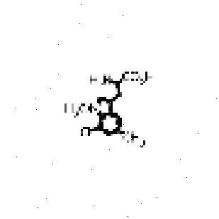 Cc1cc(Cl)c2c(c1)c(CC(N)C(=O)O)cn2C